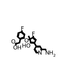 CC1(Oc2cc(F)ccc2CC(=O)O)C(F)=CC(c2ccnc(CN)c2)=C1O